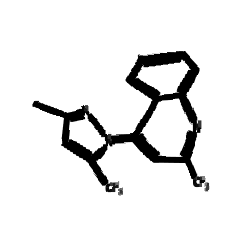 Cc1cc(C(F)(F)F)n(-c2cc(C(F)(F)F)nc3ccccc23)n1